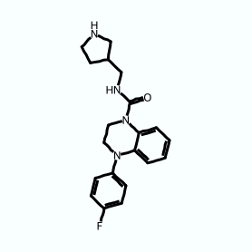 O=C(NCC1CCNC1)N1CCN(c2ccc(F)cc2)c2ccccc21